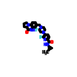 CC1CC1NC(=O)c1ccc(N2CCN(Cc3ccc4c(c3F)NC(=O)C3CCCN43)CC2)c(F)n1